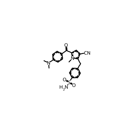 CN(C)c1ccc(C(=O)c2cc(C#N)c(Cc3ccc(S(N)(=O)=O)cc3)n2C)cc1